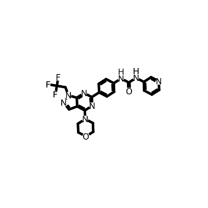 O=C(Nc1ccc(-c2nc(N3CCOCC3)c3cnn(CC(F)(F)F)c3n2)cc1)Nc1cccnc1